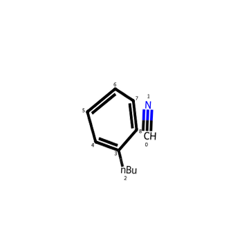 C#N.CCCCc1ccccc1